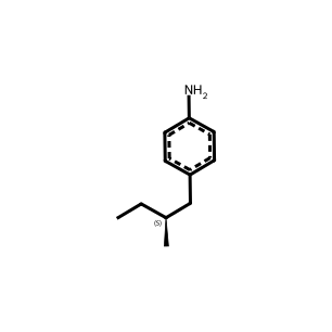 CC[C@H](C)Cc1ccc(N)cc1